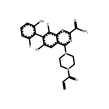 C=CC(=O)N1CCN(c2nc(C(N)=O)nc3c(F)c(-c4c(O)cccc4F)c(Cl)cc23)CC1